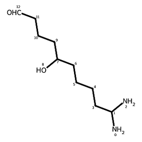 NC(N)CCCCC(O)CCCC=O